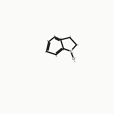 [O-][S+]1C[C]c2ccccc21